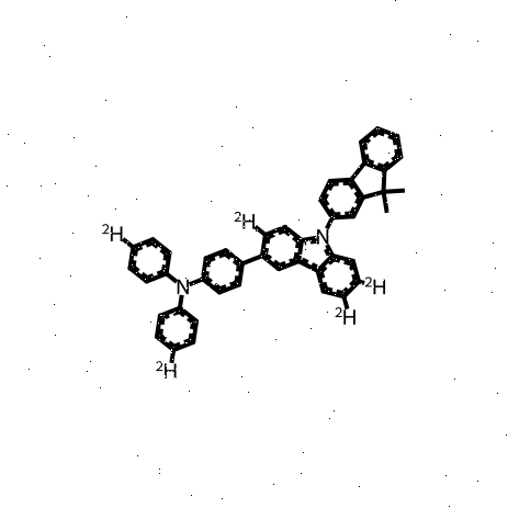 [2H]c1ccc(N(c2ccc([2H])cc2)c2ccc(-c3cc4c5cc([2H])c([2H])cc5n(-c5ccc6c(c5)C(C)(C)c5ccccc5-6)c4cc3[2H])cc2)cc1